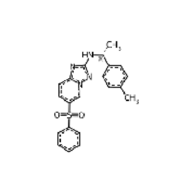 Cc1ccc([C@@H](C)Nc2nc3ccc(S(=O)(=O)c4ccccc4)cn3n2)cc1